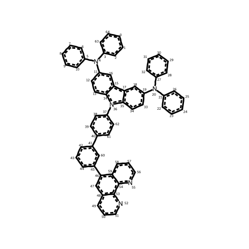 c1ccc(N(c2ccccc2)c2ccc3c(c2)c2cc(N(c4ccccc4)c4ccccc4)ccc2n3-c2ccc(-c3cccc(-c4cc5cccnc5c5ncccc45)c3)cc2)cc1